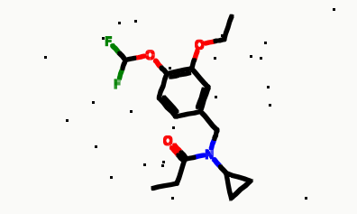 CCOc1cc(CN(C(=O)CC)C2CC2)ccc1OC(F)F